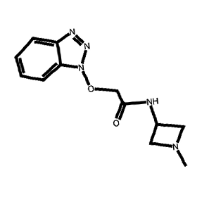 CN1CC(NC(=O)COn2nnc3ccccc32)C1